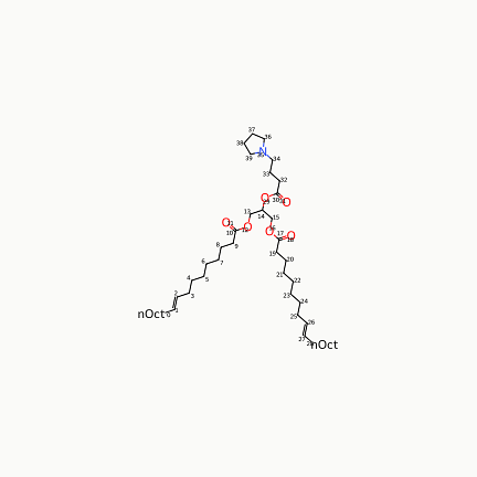 CCCCCCCCC=CCCCCCCCC(=O)OCC(COC(=O)CCCCCCCC=CCCCCCCCC)OC(=O)CCCN1CCCC1